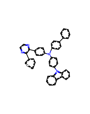 c1ccc(-c2ccc(N(c3ccc(-c4nccnc4-c4ccccc4)cc3)c3ccc(-n4c5ccccc5c5ccccc54)cc3)cc2)cc1